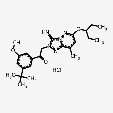 CCC(CC)Oc1cc(C)c2nn(CC(=O)c3cc(OC)cc(C(C)(C)C)c3)c(=N)n2n1.Cl